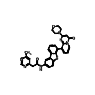 Cc1cc(CC(=O)Nc2ccc3sc4c(-c5cccn6c(=O)cc(N7CCOCC7)nc56)cccc4c3c2)ncn1